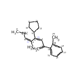 C=C(/C=C(\C(C)=C/NC)C1CCCC1)c1ccccc1C